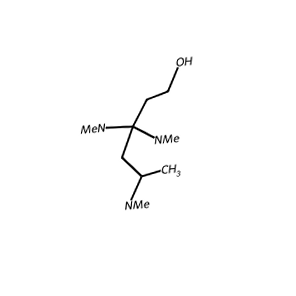 CNC(C)CC(CCO)(NC)NC